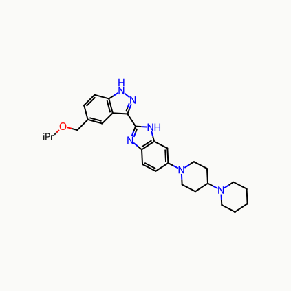 CC(C)OCc1ccc2[nH]nc(-c3nc4ccc(N5CCC(N6CCCCC6)CC5)cc4[nH]3)c2c1